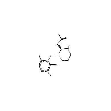 CC(=N)/C=C1\C(N)CCCN1Cc1c(Cl)ccc(C)c1Cl